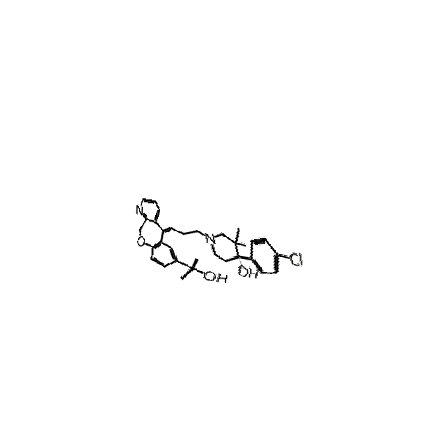 CC(C)(O)c1ccc2c(c1)/C(=C\CCN1CC[C@](O)(c3ccc(Cl)cc3)C(C)(C)C1)c1cccnc1CO2